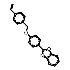 C=Cc1ccc(COc2ccc(-c3nc4ccccc4o3)cc2)cc1